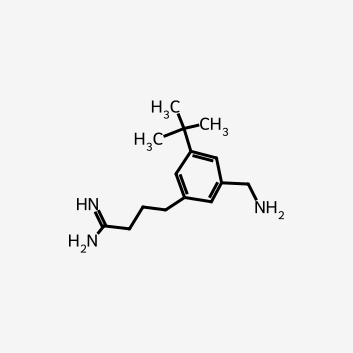 CC(C)(C)c1cc(CN)cc(CCCC(=N)N)c1